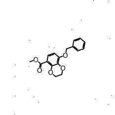 COC(=O)c1ccc(OCc2ccccc2)c2c1OCCO2